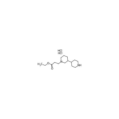 CCOC(=O)CCN1CCCC(C2CCNCC2)C1.Cl.Cl